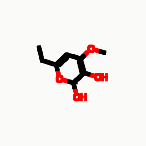 CCC1=CC(OC)=C(O)[C](O)O1